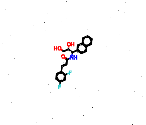 O=C(C=Cc1ccc(F)cc1F)NC(c1ccc2ccccc2c1)C(O)CO